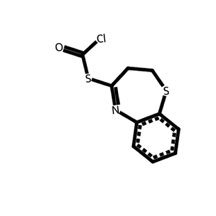 O=C(Cl)SC1=Nc2ccccc2SCC1